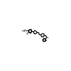 CCCc1ccc(C2CCC(CCC3CCC(C[C@@H](C)c4ccccc4)CC3)CC2)cc1F